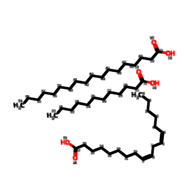 CCCCC/C=C\C/C=C\CCCCCCCC(=O)O.CCCCCCCCCCCC(=O)O.CCCCCCCCCCCCCCCCCC(=O)O